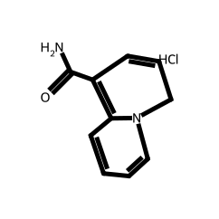 Cl.NC(=O)C1=C2C=CC=CN2CC=C1